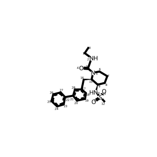 CCNC(=O)N1CCC[C@@H](NS(C)(=O)=O)[C@H]1Cc1cccc(-c2ccccc2)c1